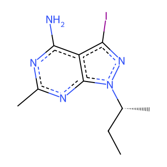 CC[C@@H](C)n1nc(I)c2c(N)nc(C)nc21